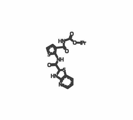 CC(C)OC(=O)NC(=O)c1ccsc1NC(=O)C1Nc2ncccc2S1